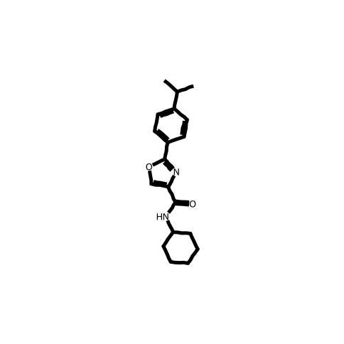 CC(C)c1ccc(-c2nc(C(=O)NC3CCCCC3)co2)cc1